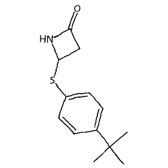 CC(C)(C)c1ccc(SC2CC(=O)N2)cc1